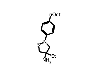 CCCCCCCCc1ccc(N2CC(N)(CC)CS2)cc1